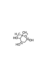 CC1(C)O[C@@H](O)C[C@@H](O)C1O